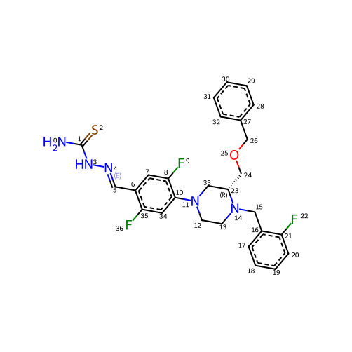 NC(=S)N/N=C/c1cc(F)c(N2CCN(Cc3ccccc3F)[C@@H](COCc3ccccc3)C2)cc1F